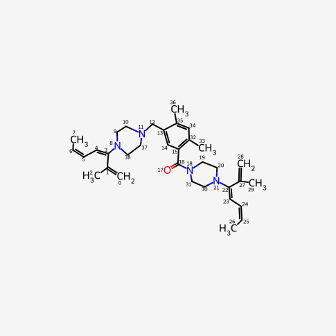 C=C(C)/C(=C\C=C/C)N1CCN(Cc2cc(C(=O)N3CCN(/C(=C/C=C\C)C(=C)C)CC3)c(C)cc2C)CC1